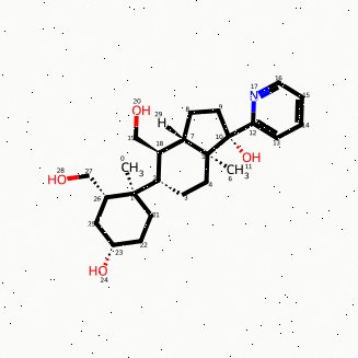 C[C@]1([C@H]2CC[C@@]3(C)[C@@H](CC[C@@]3(O)c3ccccn3)[C@@H]2CO)CC[C@H](O)C[C@@H]1CO